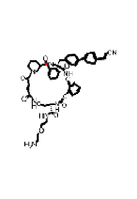 N#C/C=C/c1ccc(-c2ccc(C[C@@H]3NC(=O)[C@]4(Cc5ccccc5)CCCN(C4)C(=O)/C=C/C(=O)NCC[C@@H](C(=O)NCCOCCN)NC(=O)Cc4ccccc4CNC3=O)cc2)cc1